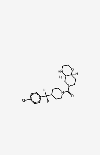 O=C(N1CCC(C(F)(F)c2ccc(Cl)cc2)CC1)N1CC[C@@H]2OCCN[C@@H]2C1